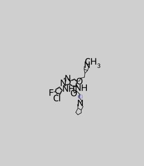 CN1CC2C(CCOc3cc4ncnc(Nc5ccc(F)c(Cl)c5)c4cc3NC(=O)/C=C/CN3CC4CCCC4C3)C2C1